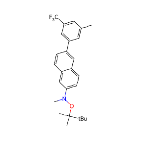 Cc1cc(-c2ccc3cc(N(C)OC(C)(C)C(C)(C)C)ccc3c2)cc(C(F)(F)F)c1